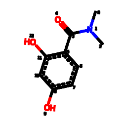 CN(C)C(=O)c1ccc(O)cc1O